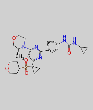 C[C@H]1COCCN1c1cc(C2(S(=O)(=O)C3CCOCC3)CC2)nc(-c2ccc(NC(=O)NC3CC3)cc2)n1